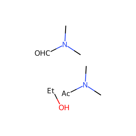 CC(=O)N(C)C.CCO.CN(C)C=O